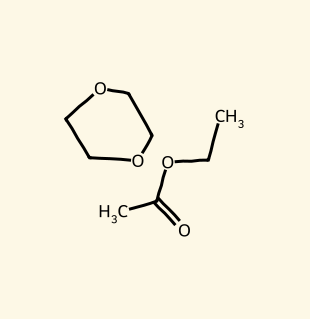 C1COCCO1.CCOC(C)=O